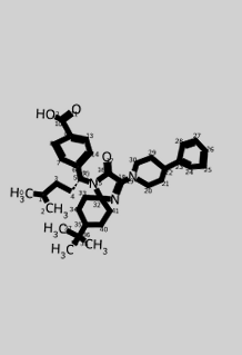 CC(C)CC[C@H](c1ccc(C(=O)O)cc1)N1C(=O)C(N2CCC(c3ccccc3)CC2)=NC12CCC(C(C)(C)C)CC2